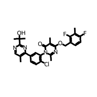 Cc1cnc(C(C)(C)O)nc1-c1ccc(Cl)c(-n2c(C)nc(OCc3ccc(F)c(C)c3F)c(C)c2=O)c1